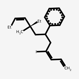 C=C/C=C(/I)CC(C[C@](C)(/C=C\CC)CC)c1ccccc1